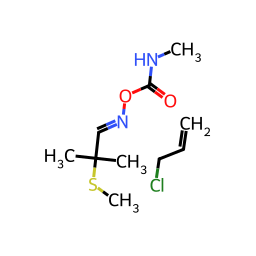 C=CCCl.CNC(=O)O/N=C/C(C)(C)SC